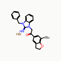 Br.CC(C)(C)c1cc(C(=O)Cn2c(=N)n(Cc3ccccc3)c3ccccc32)cc2c1OCC2